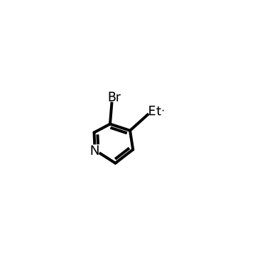 C[CH]c1ccncc1Br